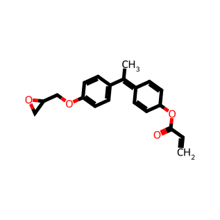 C=CC(=O)OC1C=CC(=C(C)c2ccc(OCC3CO3)cc2)C=C1